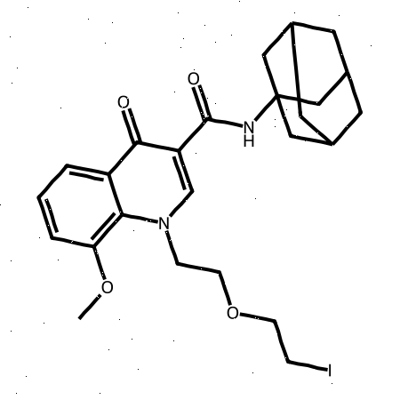 COc1cccc2c(=O)c(C(=O)NC34CC5CC(CC(C5)C3)C4)cn(CCOCCI)c12